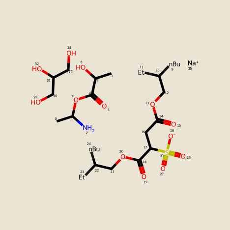 CC(N)OC(=O)C(C)O.CCCCC(CC)COC(=O)CC(C(=O)OCC(CC)CCCC)S(=O)(=O)[O-].OCC(O)CO.[Na+]